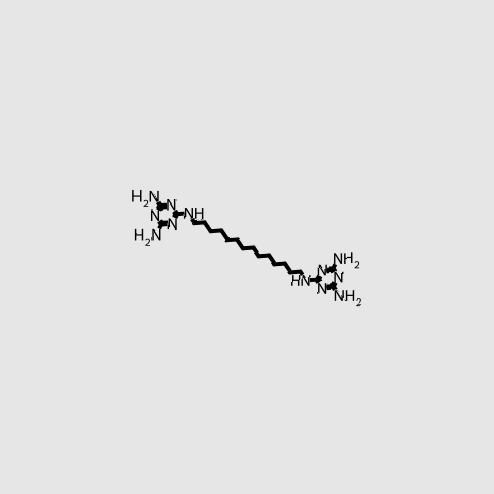 Nc1nc(N)nc(NCCCCCCCCCCCCCCNc2nc(N)nc(N)n2)n1